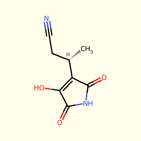 C[C@@H](CC#N)C1=C(O)C(=O)NC1=O